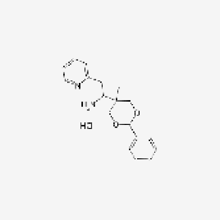 CC1(C(N)Cc2ccccn2)COC(c2ccccc2)OC1.Cl